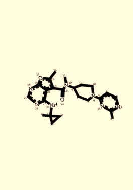 Cc1nccc(N2CCC(N(C)C(=O)c3c(C)oc4ncnc(NC5(C)CC5)c34)CC2)n1